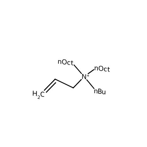 C=CC[N+](CCCC)(CCCCCCCC)CCCCCCCC